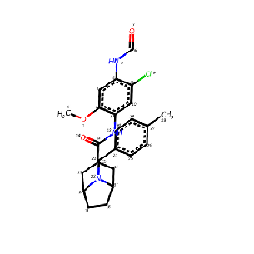 COc1cc(NC=O)c(Cl)cc1NC(=O)C1CC2CCC(C1)N2Cc1ccc(C)cc1